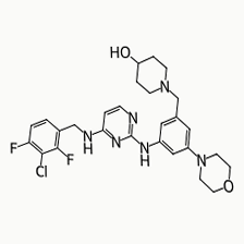 OC1CCN(Cc2cc(Nc3nccc(NCc4ccc(F)c(Cl)c4F)n3)cc(N3CCOCC3)c2)CC1